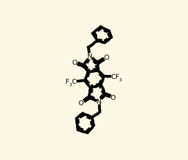 O=c1c2c(C(F)(F)F)c3c(=O)n(Cc4ccccc4)c(=O)c3c(C(F)(F)F)c2c(=O)n1Cc1ccccc1